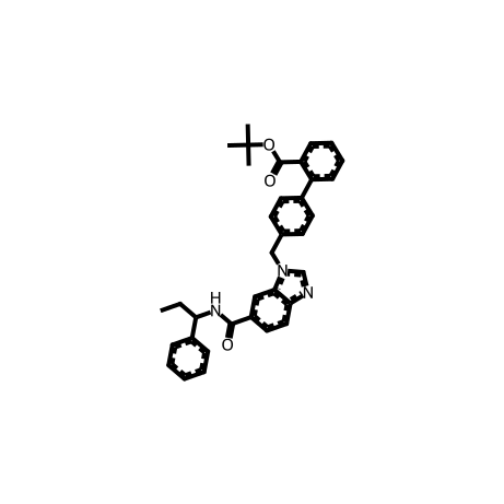 CCC(NC(=O)c1ccc2ncn(Cc3ccc(-c4ccccc4C(=O)OC(C)(C)C)cc3)c2c1)c1ccccc1